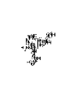 CCCNC(=O)Nc1cccc(S(=O)(=O)Nc2cccc(C(CC(=O)O)NC(=O)Nc3ccc(NC(=O)N(C)CCN(C)CCN(C)CC(=O)NC(CC(N)=O)C(=O)N4CCCC4C(=O)NC(C(=O)N=S(C)(=O)Cc4ccnc(Nc5cc(-c6ccc(F)cc6OC)c(F)cn5)c4)C(C)C)cc3)c2)c1